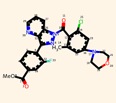 COC(=O)c1ccc(-c2nn(C(=O)c3c(C)cc(N4CCOCC4)cc3Cl)c3cccnc23)c(F)c1